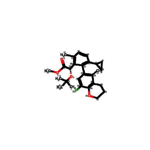 COC(=O)[C@@H](OC(C)(C)C)c1c(C)ccc(C2CC2)c1-c1cc(F)c2c(c1C)CCCO2